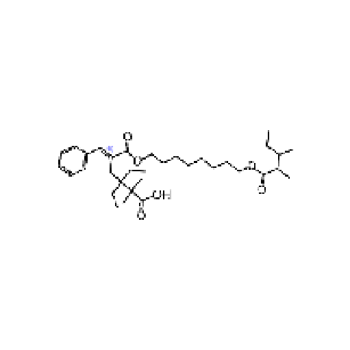 CCC(C)C(C)C(=O)OCCCCCCCCOC(=O)/C(=C/c1ccccc1)CC(CC)(CC)C(C)(C)C(=O)O